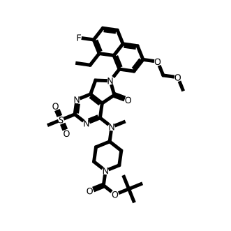 CCc1c(F)ccc2cc(OCOC)cc(N3Cc4nc(S(C)(=O)=O)nc(N(C)C5CCN(C(=O)OC(C)(C)C)CC5)c4C3=O)c12